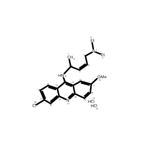 CCN(CC)C/C=C\C(C)Nc1c2ccc(Cl)cc2nc2ccc(OC)cc12.Cl.Cl